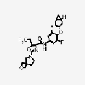 O=C(Nc1cc(F)c(O[C@@H]2CC3C[C@@H]3C2)c(F)c1)c1nc(N2CCC3(COC3)C2)oc1CC(F)(F)F